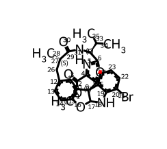 COC(=O)c1nc2oc1[C@]13c4cc(ccc4OC1Nc1c(Br)cccc13)C[C@H](C)C(=O)N[C@H]2C(C)C